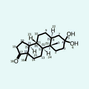 C[C@]12CCC(O)(O)C[C@@H]1CC[C@@H]1[C@@H]2CC[C@]2(C)C(=O)CC[C@@H]12